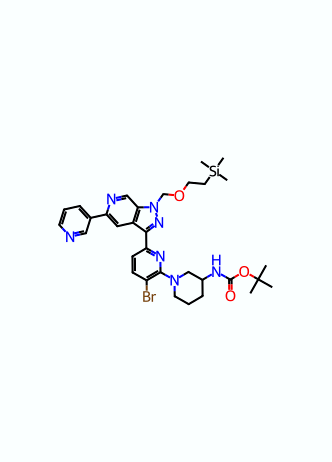 CC(C)(C)OC(=O)NC1CCCN(c2nc(-c3nn(COCC[Si](C)(C)C)c4cnc(-c5cccnc5)cc34)ccc2Br)C1